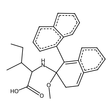 CCC(C)C(NC1(OC)CC=c2ccccc2=C1c1cccc2ccccc12)C(=O)O